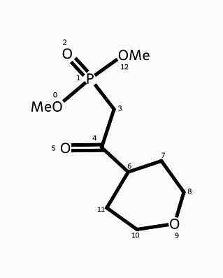 COP(=O)(CC(=O)C1CCOCC1)OC